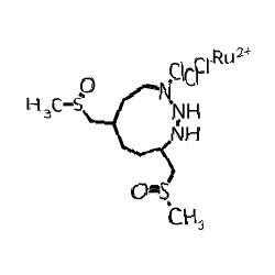 CS(=O)CC1CCC(CS(C)=O)NNN(Cl)CC1.[Cl-].[Cl-].[Ru+2]